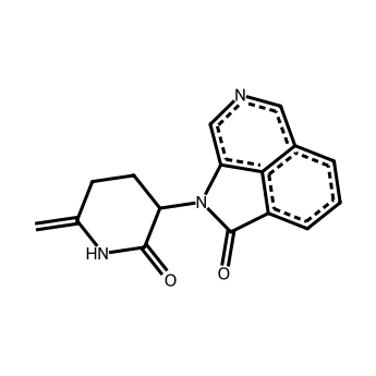 C=C1CCC(N2C(=O)c3cccc4cncc2c34)C(=O)N1